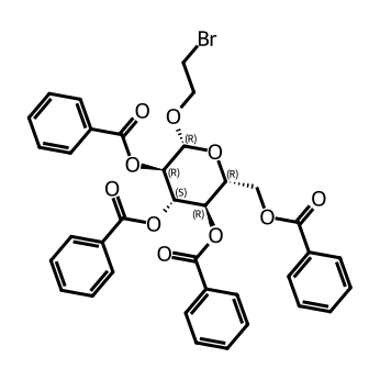 O=C(OC[C@H]1O[C@@H](OCCBr)[C@H](OC(=O)c2ccccc2)[C@@H](OC(=O)c2ccccc2)[C@@H]1OC(=O)c1ccccc1)c1ccccc1